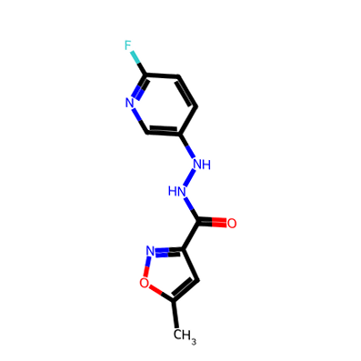 Cc1cc(C(=O)NNc2ccc(F)nc2)no1